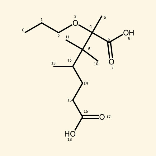 CCCOC(C)(C(=O)O)C(C)(C)C(C)CCC(=O)O